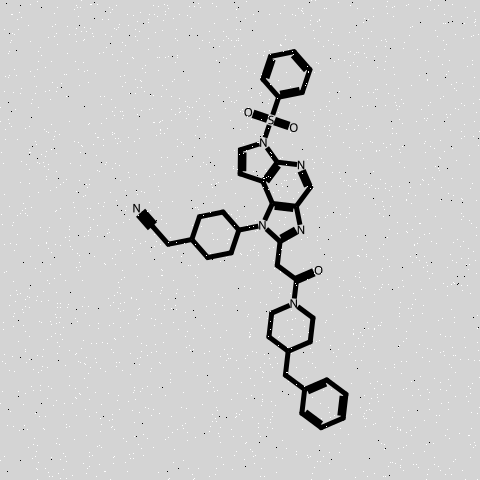 N#CCC1CCC(n2c(CC(=O)N3CCC(Cc4ccccc4)CC3)nc3cnc4c(ccn4S(=O)(=O)c4ccccc4)c32)CC1